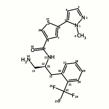 Cn1nccc1-c1cc(C(=O)N[C@H](CN)Cc2ccccc2C(F)(F)F)cs1